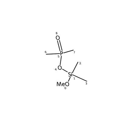 CO[Si](C)(C)OP(C)(C)=O